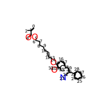 C=C(C)C(=O)OCCCCCCCCOc1ccc(C=C(C#N)c2ccccc2)cc1OC